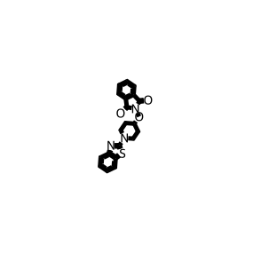 O=C1c2ccccc2C(=O)N1OC1CCN(c2nc3ccccc3s2)CC1